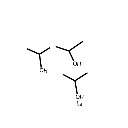 CC(C)O.CC(C)O.CC(C)O.[La]